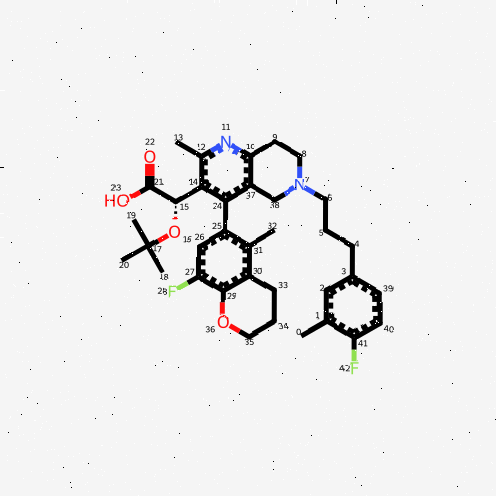 Cc1cc(CCCN2CCc3nc(C)c([C@H](OC(C)(C)C)C(=O)O)c(-c4cc(F)c5c(c4C)CCCO5)c3C2)ccc1F